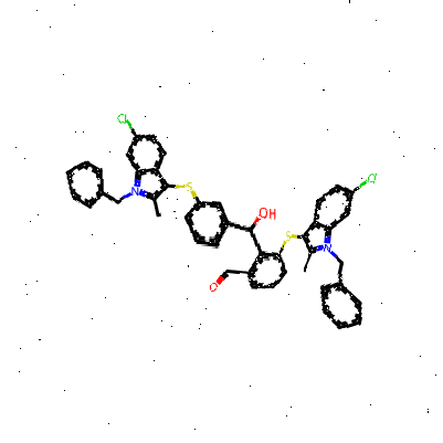 Cc1c(Sc2cccc(C(O)c3c(C=O)cccc3Sc3c(C)n(Cc4ccccc4)c4cc(Cl)ccc34)c2)c2ccc(Cl)cc2n1Cc1ccccc1